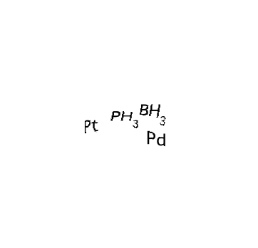 B.P.[Pd].[Pt]